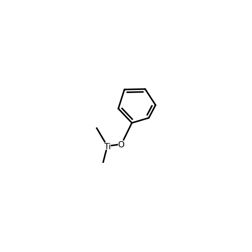 [CH3][Ti]([CH3])[O]c1ccccc1